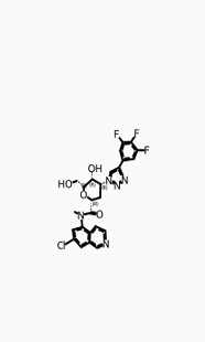 CN(C(=O)[C@H]1C[C@@H](n2cc(-c3cc(F)c(F)c(F)c3)nn2)[C@@H](O)[C@@H](CO)O1)c1cc(Cl)cc2cnccc12